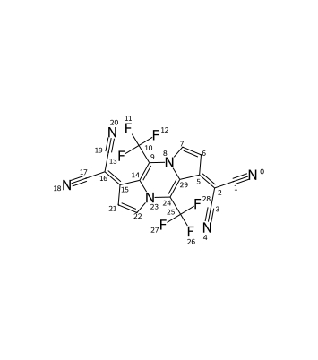 N#CC(C#N)=c1ccn2c(C(F)(F)F)c3c(=C(C#N)C#N)ccn3c(C(F)(F)F)c12